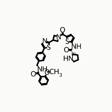 COc1ccccc1C(=O)NCc1ccc(-c2cnc(C3CN(C(=O)c4ccc(NC(=O)[C@@H]5CCCN5)s4)C3)s2)cc1